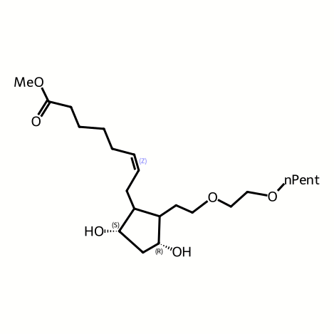 CCCCCOCCOCCC1C(C/C=C\CCCCC(=O)OC)[C@@H](O)C[C@H]1O